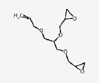 C=CCOCC(COCC1CO1)OCC1CO1